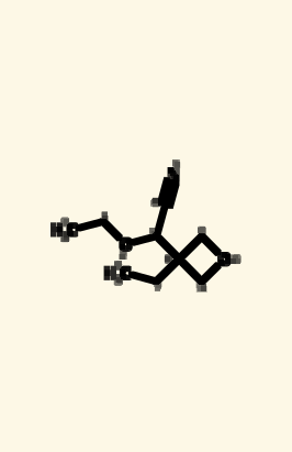 CCOC(C#N)C1(CC)COC1